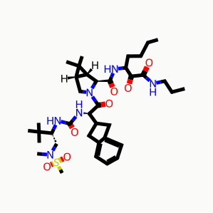 CCCCC(NC(=O)[C@@H]1[C@@H]2[C@H](CN1C(=O)[C@@H](NC(=O)N[C@H](CN(C)S(C)(=O)=O)C(C)(C)C)C1Cc3ccccc3C1)C2(C)C)C(=O)C(=O)NCCC